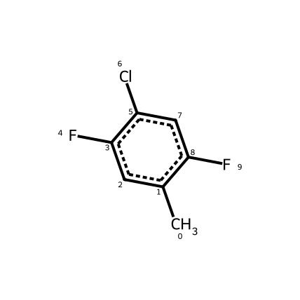 Cc1cc(F)c(Cl)cc1F